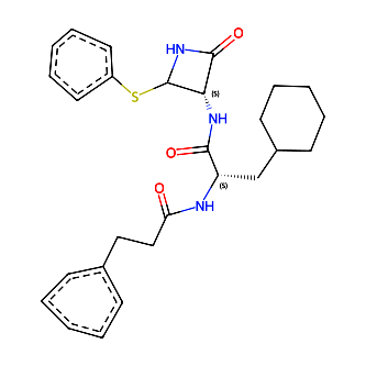 O=C(CCc1ccccc1)N[C@@H](CC1CCCCC1)C(=O)N[C@H]1C(=O)NC1Sc1ccccc1